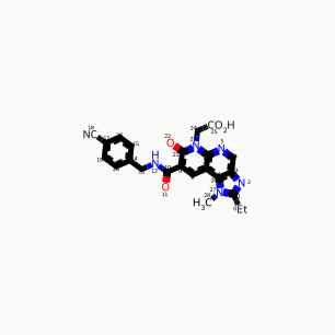 CCc1nc2cnc3c(cc(C(=O)NCc4ccc(C#N)cc4)c(=O)n3CC(=O)O)c2n1C